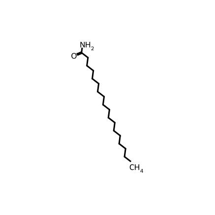 C.CCCCCCCCCCCCCCCCCC(N)=O